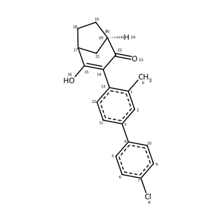 Cc1cc(-c2ccc(Cl)cc2)ccc1C1=C(O)C2CC[C@H](C2)C1=O